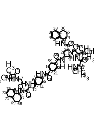 CN[C@@H](C)C(=O)NCC(=O)N[C@@H](Cc1ccc(NC(=O)c2ccc(C(=O)N[C@H]3C[C@@H](C(=O)N[C@@H]4CCCc5ccccc54)N(C(=O)[C@@H](NC(=O)[C@H](C)NC)C(C)(C)C)C3)cc2)cc1)C(=O)N[C@@H]1CCCc2ccccc21